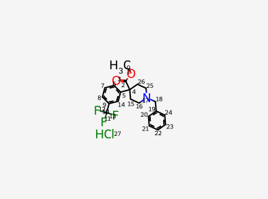 COC(=O)C1(c2cccc(C(F)(F)F)c2)CCN(Cc2ccccc2)CC1.Cl